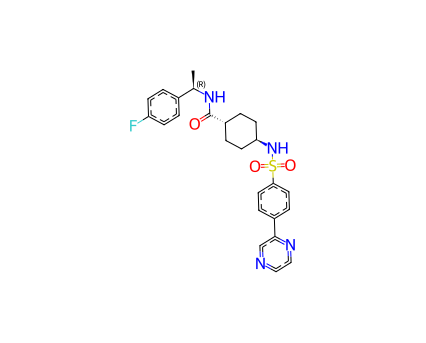 C[C@@H](NC(=O)[C@H]1CC[C@H](NS(=O)(=O)c2ccc(-c3cnccn3)cc2)CC1)c1ccc(F)cc1